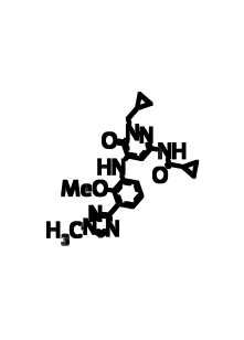 COc1c(Nc2cc(NC(=O)C3CC3)nn(CC3CC3)c2=O)cccc1-c1ncn(C)n1